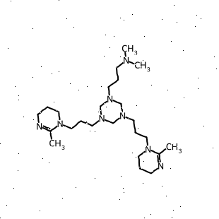 CC1=NCCCN1CCCN1CN(CCCN(C)C)CN(CCCN2CCCN=C2C)C1